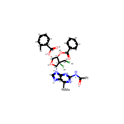 CNc1nc(NC(=O)C(C)C)nc2c1ncn2[C@@H]1O[C@H](OC(=O)c2ccccc2C)[C@@H](OC(=O)c2ccccc2)[C@]1(F)CF